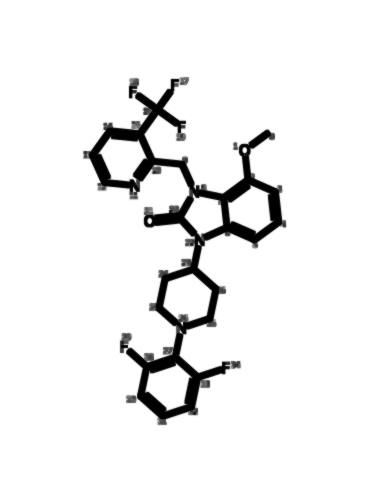 COc1cccc2c1n(Cc1ncccc1C(F)(F)F)c(=O)n2C1CCN(c2c(F)cccc2F)CC1